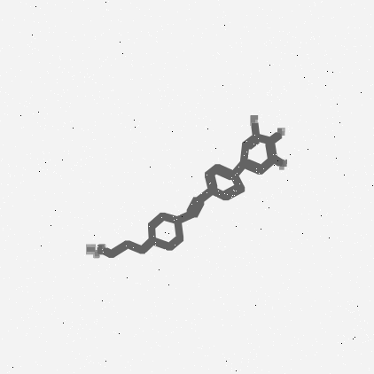 CCCCC1CCC(C#Cc2ccc(-c3cc(F)c(F)c(F)c3)cc2)CC1